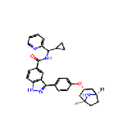 O=C(NC(c1ccccn1)C1CC1)c1ccc2[nH]nc(-c3ccc(O[C@@H]4C[C@H]5CC[C@@H](C4)N5)cc3)c2c1